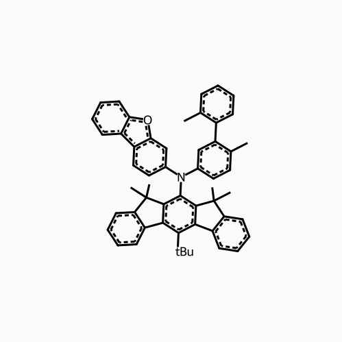 Cc1ccccc1-c1cc(N(c2ccc3c(c2)oc2ccccc23)c2c3c(c(C(C)(C)C)c4c2C(C)(C)c2ccccc2-4)-c2ccccc2C3(C)C)ccc1C